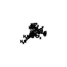 CC(C)(C#Cc1ccc(-c2ccc(Cl)c3c(N(C(=O)OC[C@@H](N)CCCCN)S(C)(=O)=O)nn(CC(F)(F)F)c23)c([C@H](Cc2cc(F)cc(F)c2)NC(=O)Cn2cc(C(F)(F)F)c3c2C(F)(F)[C@@H]2C[C@H]32)n1)S(C)(=O)=O